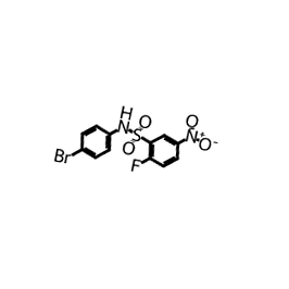 O=[N+]([O-])c1ccc(F)c(S(=O)(=O)Nc2ccc(Br)cc2)c1